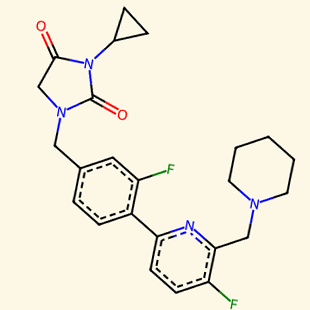 O=C1CN(Cc2ccc(-c3ccc(F)c(CN4CCCCC4)n3)c(F)c2)C(=O)N1C1CC1